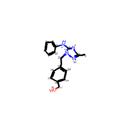 Cc1nc(Nc2ccccc2)n(Cc2ccc(CO)cc2)n1